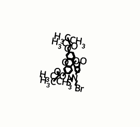 CC(C)(C)C(=O)Oc1ccc2c(c1)Oc1cc(OC(=O)C(C)(C)C)ccc1C21OC(=O)c2ccc(N(CCBr)N=S)cc21